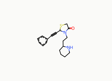 O=C1CSC(C#Cc2ccccc2)N1CCC1CCCCN1